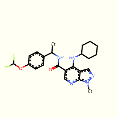 CCC(NC(=O)c1cnc2c(cnn2CC)c1NC1CCCCC1)c1ccc(OC(F)F)cc1